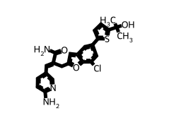 CC(C)(O)c1ccc(-c2cc(Cl)c3oc(C/C(=C\c4ccc(N)nc4)C(N)=O)cc3c2)s1